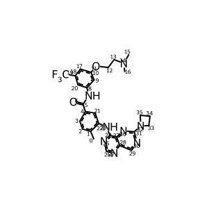 Cc1ccc(C(=O)Nc2cc(OCCN(C)C)cc(C(F)(F)F)c2)cc1Nc1ncnc2cnc(N3CCC3)nc12